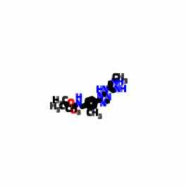 CN/C=C(\C=N)Nc1ncnc(-c2ccc(CNC(=O)OC(C)(C)C)c(C)c2)n1